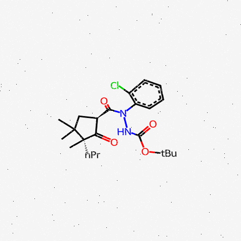 CCC[C@@]1(C)C(=O)[C@H](C(=O)N(NC(=O)OC(C)(C)C)c2ccccc2Cl)CC1(C)C